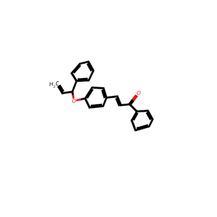 C=CC(Oc1ccc(C=CC(=O)c2ccccc2)cc1)c1ccccc1